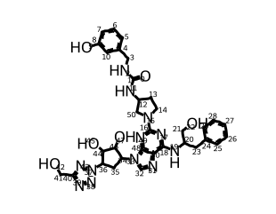 O=C(NCc1cccc(O)c1)NC1CCN(c2nc(NC(CO)Cc3ccccc3)c3ncn(C4CC(n5nnc(CO)n5)C(O)C4O)c3n2)C1